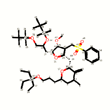 C=C1C(C)CC(CCCO[Si](CC)(CC)CC)O[C@@H]1C[C@@H]1O[C@H](CC(CO[Si](C)(C)C(C)(C)C)O[Si](C)(C)C(C)(C)C)[C@H](OC)C1CS(=O)(=O)c1ccccc1